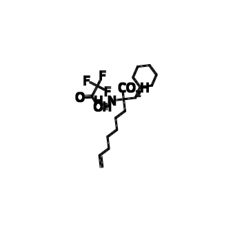 C=CCCCCCC(N)(CC1CCCCC1)C(=O)O.O=C(O)C(F)(F)F